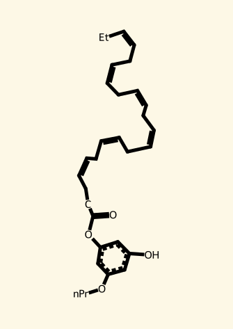 CC/C=C\C/C=C\C/C=C\C/C=C\C/C=C\C/C=C\CCC(=O)Oc1cc(O)cc(OCCC)c1